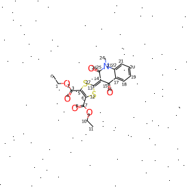 CCOC(=O)C1=C(C(=O)OCC)SC(=C2C(=O)c3ccccc3N(C)C2=O)S1